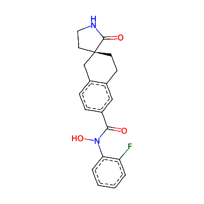 O=C(c1ccc2c(c1)CC[C@]1(CCNC1=O)C2)N(O)c1ccccc1F